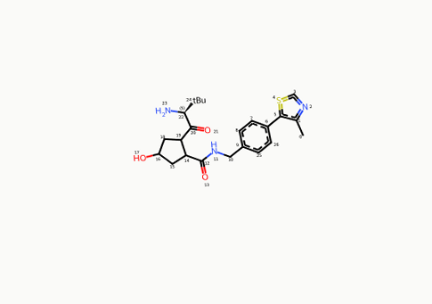 Cc1ncsc1-c1ccc(CNC(=O)C2CC(O)CC2C(=O)[C@@H](N)C(C)(C)C)cc1